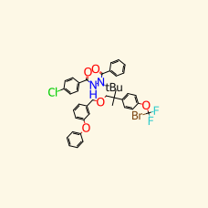 CC(C)(C)N(NC(=O)c1ccc(Cl)cc1)C(=O)c1ccccc1.CC(C)(COCc1cccc(Oc2ccccc2)c1)c1ccc(OC(F)(F)Br)cc1